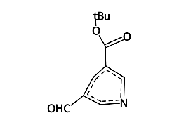 CC(C)(C)OC(=O)c1cncc(C=O)c1